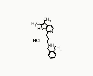 Cc1ccccc1CNCCCc1nccc2c(C)c(C)[nH]c12.Cl